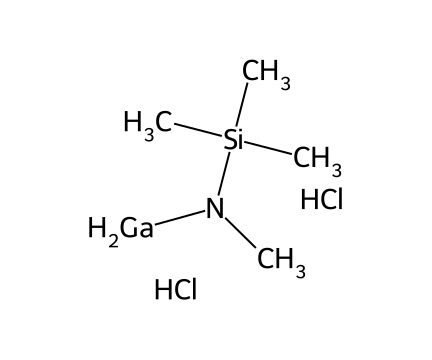 C[N]([GaH2])[Si](C)(C)C.Cl.Cl